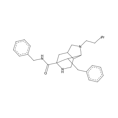 CC(C)CCN1CC2CC3(C(=O)NCc4ccccc4)NCC2C1C3Cc1ccccc1